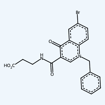 O=C(O)CCNC(=O)c1cn(Cc2ccccc2)c2ccc(Br)cc2c1=O